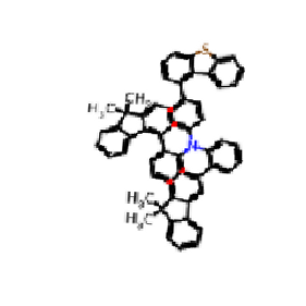 CC1(C)c2ccccc2-c2cc(-c3ccccc3N(c3ccc(-c4cccc5sc6ccccc6c45)cc3)c3ccccc3-c3cccc4c3-c3ccccc3C4(C)C)ccc21